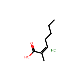 CCCC/C=C(/C)C(=O)O.Cl